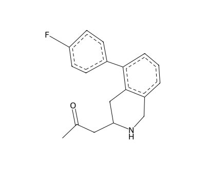 CC(=O)CC1Cc2c(cccc2-c2ccc(F)cc2)CN1